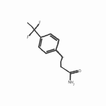 CC(F)(F)c1ccc([CH]CC(N)=O)cc1